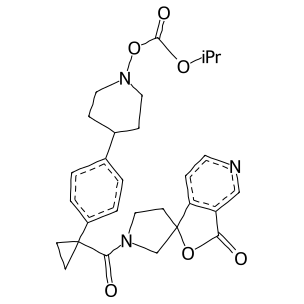 CC(C)OC(=O)ON1CCC(c2ccc(C3(C(=O)N4CCC5(C4)OC(=O)c4cnccc45)CC3)cc2)CC1